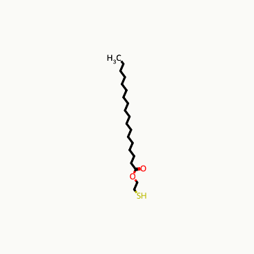 CCCCCCCCCCCCCCCCCC(=O)OCCS